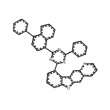 c1ccc(-c2nc(-c3ccc(-c4ccccc4)c4ccccc34)nc(-c3cccc4oc5cc6cccnc6cc5c34)n2)cc1